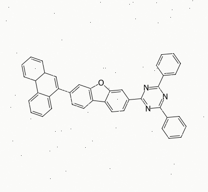 C1=CC2C=C(c3ccc4c(c3)oc3cc(-c5nc(-c6ccccc6)nc(-c6ccccc6)n5)ccc34)c3ccccc3C2C=C1